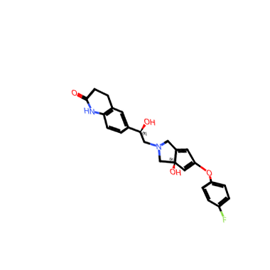 O=C1CCc2cc([C@@H](O)CN3CC4=CC(Oc5ccc(F)cc5)=C[C@]4(O)C3)ccc2N1